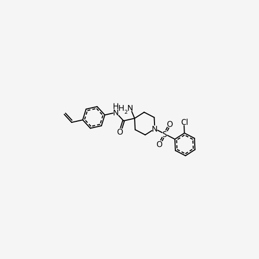 C=Cc1ccc(NC(=O)C2(N)CCN(S(=O)(=O)c3ccccc3Cl)CC2)cc1